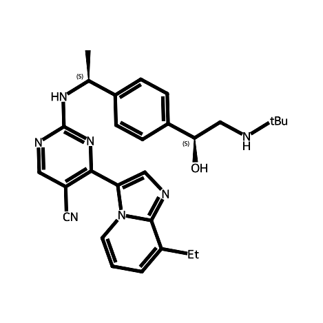 CCc1cccn2c(-c3nc(N[C@@H](C)c4ccc([C@H](O)CNC(C)(C)C)cc4)ncc3C#N)cnc12